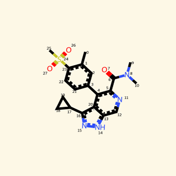 Cc1cc(-c2c(C(=O)N(C)C)ncc3[nH]nc(C4CC4)c23)ccc1S(C)(=O)=O